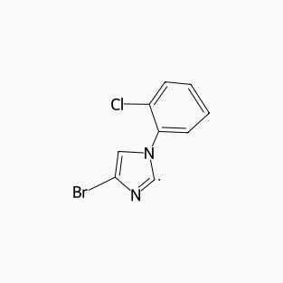 Clc1ccccc1-n1[c]nc(Br)c1